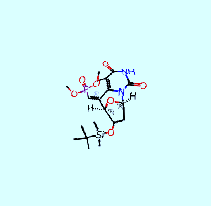 COP(=O)(/C=C1\c2c(C)c(=O)[nH]c(=O)n2[C@H]2CC(O[Si](C)(C)C(C)(C)C)[C@@H]1O2)OC